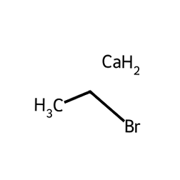 CCBr.[CaH2]